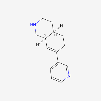 C1=C(c2cccnc2)CC[C@@H]2CCNC[C@H]12